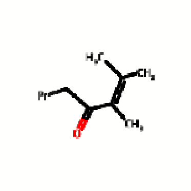 CC(C)=C(C)C(=O)CC(C)C